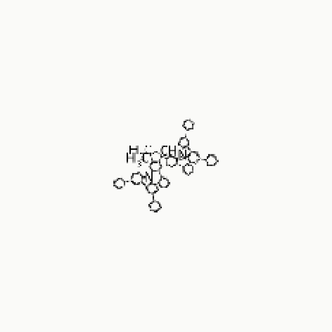 CC1(C)CC(C)(c2ccc(-c3ccccc3)c(-n3c4ccc(-c5ccccc5)cc4c4cc(-c5ccccc5)ccc43)c2)c2cc(-c3ccccc3)c(-n3c4ccc(-c5ccccc5)cc4c4cc(-c5ccccc5)ccc43)cc21